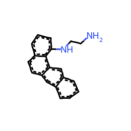 NCCNc1cccc2ccc3cc4ccccc4cc3c12